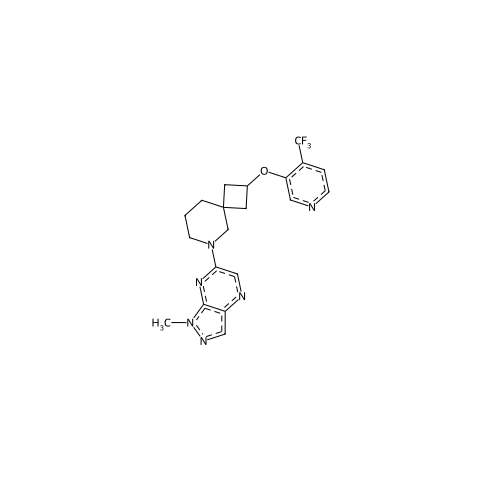 Cn1ncc2ncc(N3CCCC4(CC(Oc5cnccc5C(F)(F)F)C4)C3)nc21